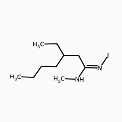 CCCCC(CC)C/C(=N\I)NC